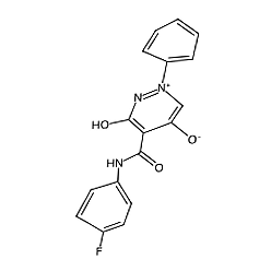 O=C(Nc1ccc(F)cc1)c1c([O-])c[n+](-c2ccccc2)nc1O